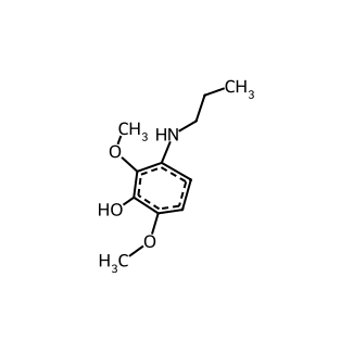 CCCNc1ccc(OC)c(O)c1OC